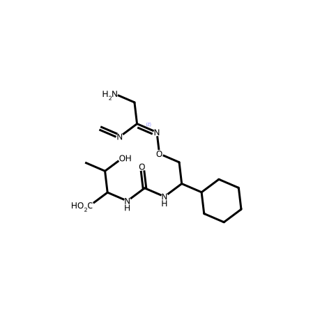 C=N/C(CN)=N\OCC(NC(=O)NC(C(=O)O)C(C)O)C1CCCCC1